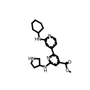 COC(=O)c1cc(NC2CCNC2)nc(-c2ccnc(NC3CCCCC3)c2)c1